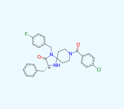 O=C(c1ccc(Cl)cc1)N1CCC2(CC1)N[C@H](Cc1ccccc1)C(=O)N2Cc1ccc(F)cc1